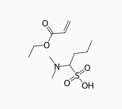 C=CC(=O)OCC.CCCC(N(C)C)S(=O)(=O)O